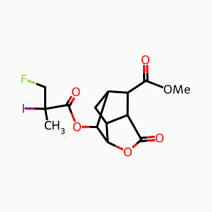 COC(=O)C1C2CC3C(OC(=O)C31)C2OC(=O)C(C)(I)CF